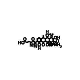 CC1c2ccc(NC(=O)[C@@H](N)CCC(=O)O)c(O)c2C(=O)C2=C(O)[C@]3(O)C(=O)C(C(N)=O)=C(O)[C@@H](N(C)C)C3C(O)C21